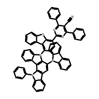 N#Cc1c(-c2ccccc2)nc(-c2ccc(-n3c4ccccc4c4c3c(-n3c5ccccc5c5ccccc53)cc3c5ccccc5n(-c5ccccc5)c34)c3c2oc2ccccc23)nc1-c1ccccc1